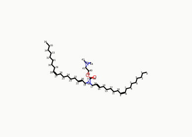 CCCCCCCC/C=C\CCCCCC=CCN(CC=CCCCCC/C=C\CCCCCCCC)C(=O)OCCN(C)C